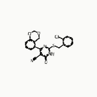 N#Cc1c(-c2cccc3c2COCO3)nc(SCc2ccccc2Cl)[nH]c1=O